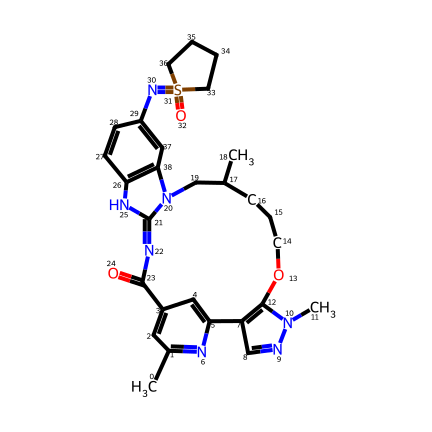 Cc1cc2cc(n1)-c1cnn(C)c1OCCCC(C)CN1/C(=N/C2=O)Nc2ccc(N=S3(=O)CCCC3)cc21